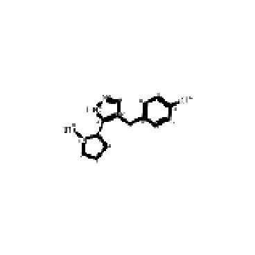 CC(C)(C)N1CCC[C@@H]1c1[nH]ncc1Cc1ccc(Cl)cc1